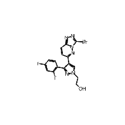 CC(C)c1nnc2ccc(-c3cn(CCO)nc3-c3ccc(F)cc3F)nn12